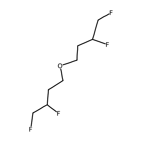 FCC(F)CCOCCC(F)CF